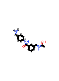 C=C(O)NCc1cccc(C(=O)Nc2ccc(CN(C)C)cc2)c1